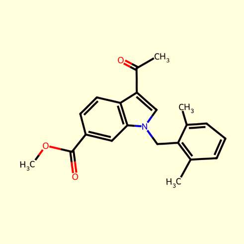 COC(=O)c1ccc2c(C(C)=O)cn(Cc3c(C)cccc3C)c2c1